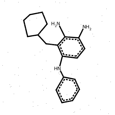 Nc1ccc(Nc2ccccc2)c(CC2CCCCC2)c1N